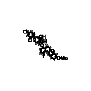 COc1ccc(CN2C(=O)CCc3c(OCC4(O)CCN(c5ncc(Cl)cc5Cl)CC4(C)O)ccc(F)c32)cc1